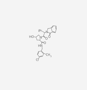 Cc1cc(Cl)ccc1CNC(=O)C1CC(O)CN1C(=O)C(C(C)C)N1Cc2ccccc2C1=O